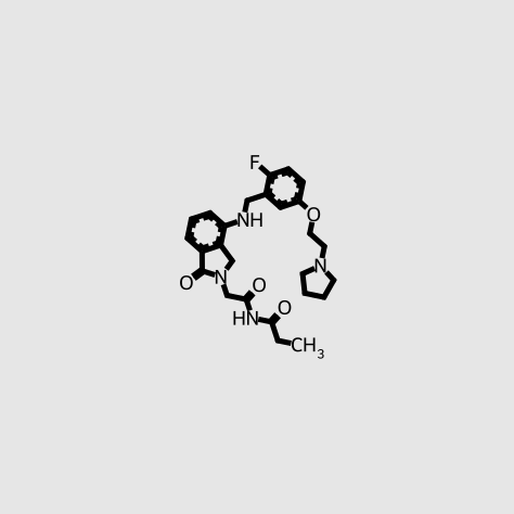 CCC(=O)NC(=O)CN1Cc2c(NCc3cc(OCCN4CCCC4)ccc3F)cccc2C1=O